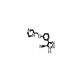 N#Cc1[nH]nnc1-c1cccc(OCc2cnccn2)c1